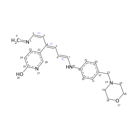 C=N\C=C/C(=C/C=C/Nc1ccc(CN2CCOCC2)cc1)c1ccc(O)nc1